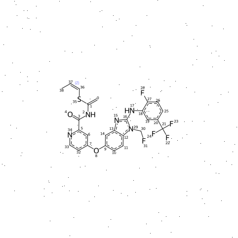 C=C(NC(=O)c1cc(Oc2ccc3c(c2)nc(Nc2cc(C(F)(F)F)ccc2F)n3CF)ccn1)S/C=C\C